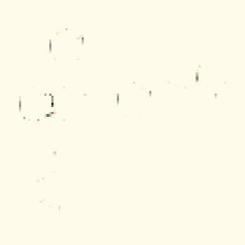 CN(C)C(=O)NCc1ccc(CN(C(=O)C(c2ccccc2)c2ccccc2)[C@H](CCCNC(=N)N)C(N)=O)cc1